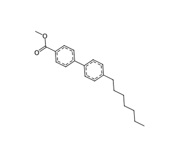 CCCCCCCc1ccc(-c2ccc(C(=O)OC)cc2)cc1